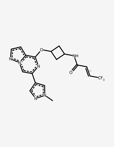 Cn1cc(-c2cn3nccc3c(OC3CC(NC(=O)/C=C/C(F)(F)F)C3)n2)cn1